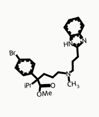 COC(=O)C(CCCN(C)CCCc1nc2ccccc2[nH]1)(c1ccc(Br)cc1)C(C)C